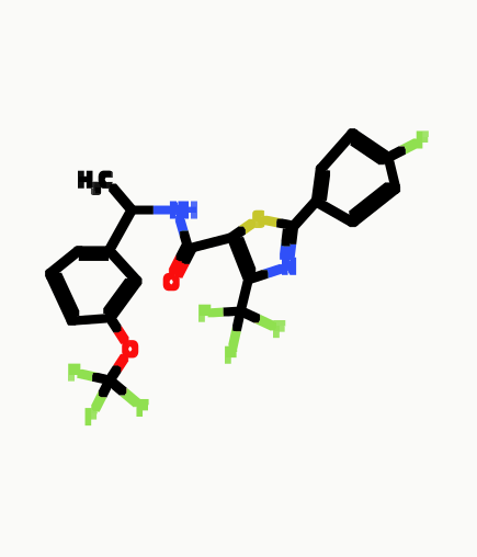 CC(NC(=O)c1sc(-c2ccc(F)cc2)nc1C(F)(F)F)c1cccc(OC(F)(F)F)c1